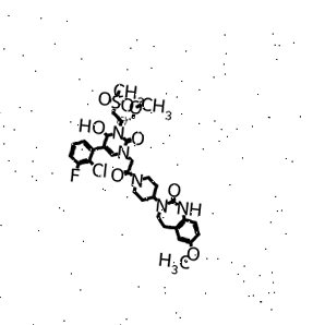 COC[C@@H](CS(C)(=O)=O)N1C(=O)N(CC(=O)N2CCC(N3CCc4cc(OC)ccc4NC3=O)CC2)C=C(c2cccc(F)c2Cl)C1O